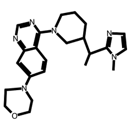 CC(c1nccn1C)C1CCCN(c2ncnc3cc(N4CCOCC4)ccc23)C1